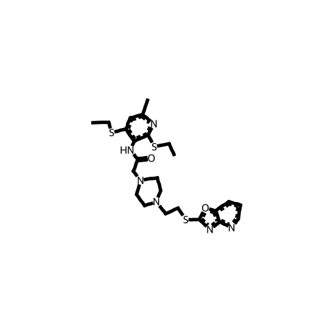 CCSc1cc(C)nc(SCC)c1NC(=O)CN1CCN(CCSc2nc3ncccc3o2)CC1